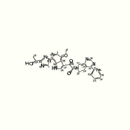 COc1cnc(-n2cnc(C(C)O)n2)c2[nH]cc(C(=O)C(=O)N3CCc4c(ncnc4-c4ccccn4)C3)c12